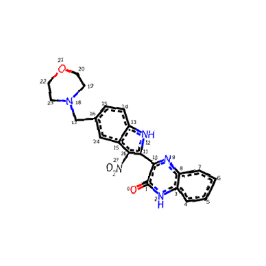 O=c1[nH]c2ccccc2nc1-c1[nH]c2ccc(CN3CCOCC3)cc2c1[N+](=O)[O-]